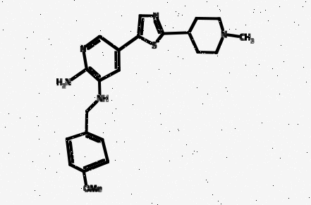 COc1ccc(CNc2cc(-c3cnc(C4CCN(C)CC4)s3)cnc2N)cc1